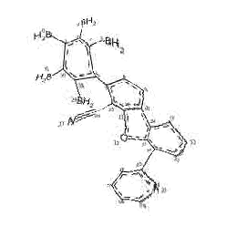 Bc1c(B)c(B)c(-c2ccc3c(oc4c(-c5ccccn5)cccc43)c2C#N)c(B)c1B